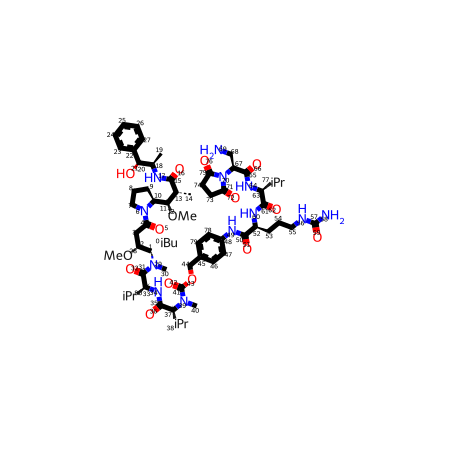 CC[C@H](C)[C@@H]([C@@H](CC(=O)N1CCC[C@H]1[C@H](OC)[C@@H](C)C(=O)N[C@H](C)[C@@H](O)c1ccccc1)OC)N(C)C(=O)[C@@H](NC(=O)[C@H](C(C)C)N(C)C(=O)OCc1ccc(NC(=O)[C@H](CCCNC(N)=O)NC(=O)[C@@H](NC(=O)[C@H](CN)N2C(=O)CCC2=O)C(C)C)cc1)C(C)C